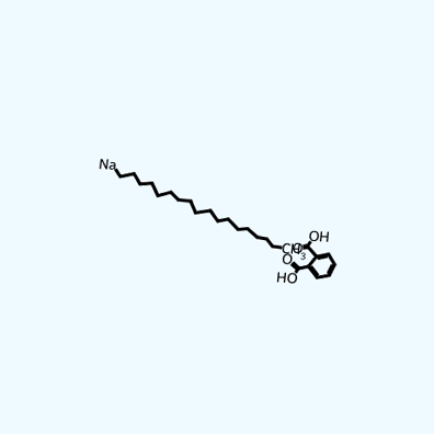 CCCCCCCCCCCCCCCCC[CH2][Na].O=C(O)c1ccccc1C(=O)O